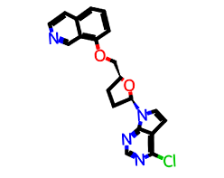 Clc1ncnc2c1ccn2[C@H]1CC[C@@H](COc2cccc3ccncc23)O1